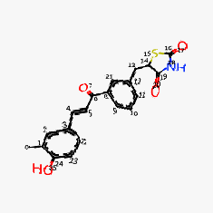 Cc1cc(C=CC(=O)c2cccc(CC3SC(=O)NC3=O)c2)ccc1O